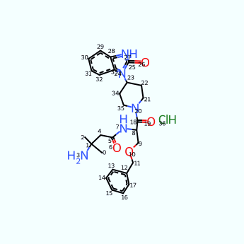 CC(C)(N)CC(=O)NC(COCc1ccccc1)C(=O)N1CCC(n2c(=O)[nH]c3ccccc32)CC1.Cl